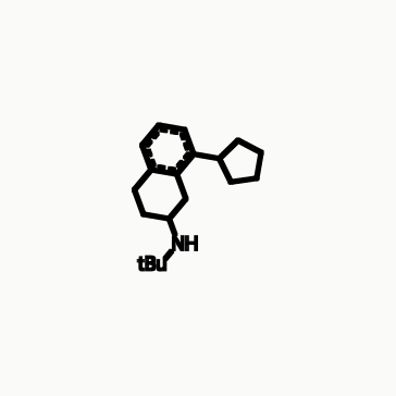 CC(C)(C)NC1CCc2cccc(C3CCCC3)c2C1